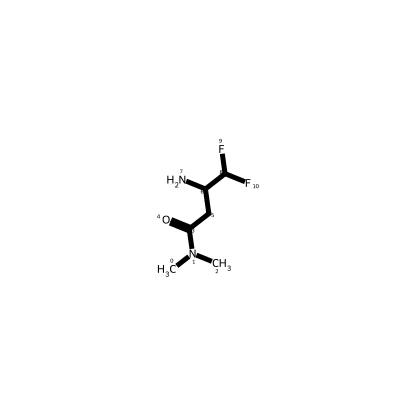 CN(C)C(=O)CC(N)C(F)F